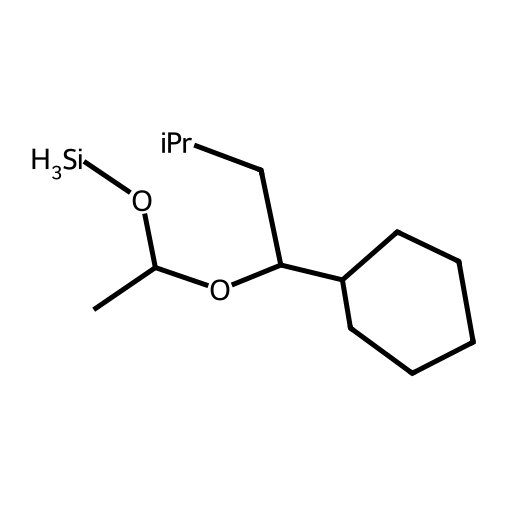 CC(C)CC(OC(C)O[SiH3])C1CCCCC1